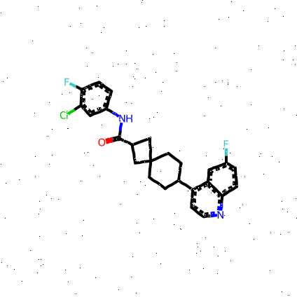 O=C(Nc1ccc(F)c(Cl)c1)C1CC2(CCC(c3ccnc4ccc(F)cc34)CC2)C1